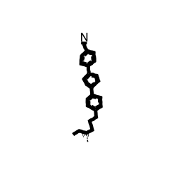 CC[C@@H](C)CCCc1ccc(-c2ccc(-c3ccc(C#N)cc3)cc2)cc1